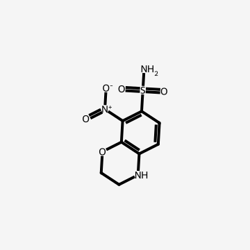 NS(=O)(=O)c1ccc2c(c1[N+](=O)[O-])OCCN2